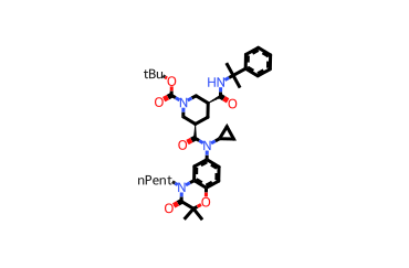 CCCCCN1C(=O)C(C)(C)Oc2ccc(N(C(=O)[C@@H]3C[C@H](C(=O)NC(C)(C)c4ccccc4)CN(C(=O)OC(C)(C)C)C3)C3CC3)cc21